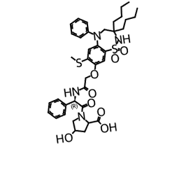 CCCCC1(CCCC)CN(c2ccccc2)c2cc(SC)c(OCC(=O)N[C@@H](C(=O)N3CC(O)CC3C(=O)O)c3ccccc3)cc2S(=O)(=O)N1